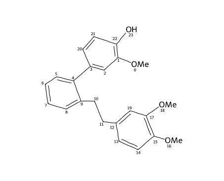 COc1cc(-c2ccccc2CCc2ccc(OC)c(OC)c2)ccc1O